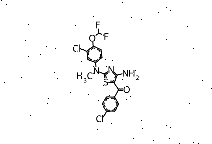 CN(c1ccc(OC(F)F)c(Cl)c1)c1nc(N)c(C(=O)c2ccc(Cl)cc2)s1